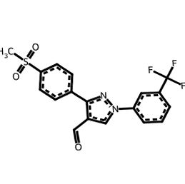 CS(=O)(=O)c1ccc(-c2nn(-c3cccc(C(F)(F)F)c3)cc2C=O)cc1